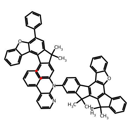 CC1(C)c2cc(N(c3ccc4c(c3)C(C)(C)c3c5c(c6oc7ccccc7c6c3-4)-c3ccccc3C5(C)C)c3ncccc3-c3ccccc3)ccc2-c2c1cc(-c1ccccc1)c1oc3ccccc3c21